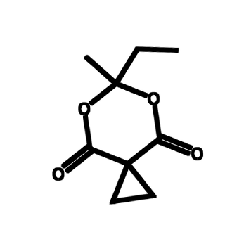 CCC1(C)OC(=O)C2(CC2)C(=O)O1